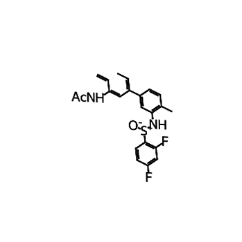 C=C/C(=C\C(=C/C)c1ccc(C)c(N[S+]([O-])c2ccc(F)cc2F)c1)NC(C)=O